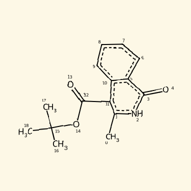 Cc1[nH]c(=O)c2ccccc2c1C(=O)OC(C)(C)C